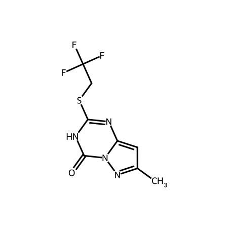 Cc1cc2nc(SCC(F)(F)F)[nH]c(=O)n2n1